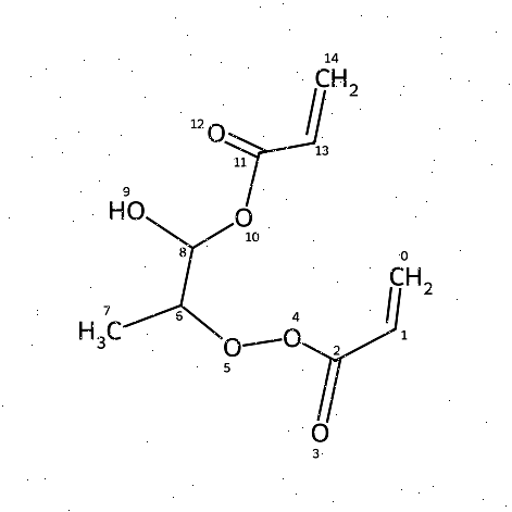 C=CC(=O)OOC(C)C(O)OC(=O)C=C